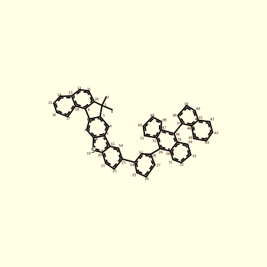 CC1(C)c2cc3c(cc2-c2c1ccc1ccccc21)sc1ccc(-c2cccc(-c4c5ccccc5c(-c5cccc6ccccc56)c5ccccc45)c2)cc13